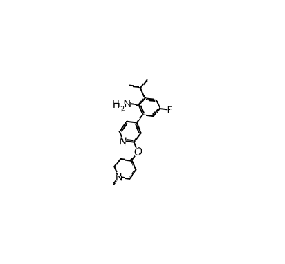 CC(C)c1cc(F)cc(-c2ccnc(OC3CCN(C)CC3)c2)c1N